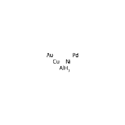 [AlH3].[Au].[Cu].[Ni].[Pd]